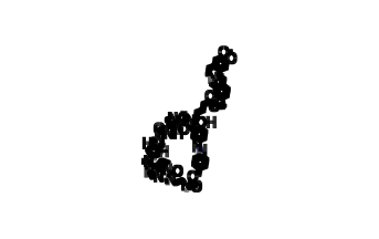 COc1nsc(NC(=O)N2C[C@H]3C[C@H](N(C)c4ncnc5c4ccn5C(=O)N(C)CCN(C)C(=O)OCc4ccc(/N=N/c5ccc(O)c(C(=O)NCCCCC(=O)Oc6c(OC)ccc7cc8[n+](cc67)CCc6cc7c(cc6-8)OCO7)c5)cc4)C[C@H]3C2)n1